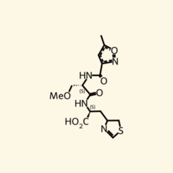 COC[C@H](NC(=O)c1cc(C)on1)C(=O)N[C@@H](CC1CSC=N1)C(=O)O